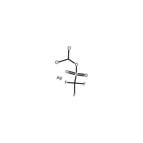 O=S(=O)(OC(Cl)Cl)C(F)(F)F.[Ag]